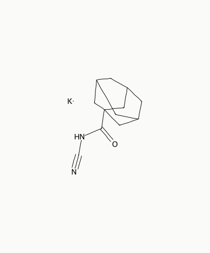 N#CNC(=O)C12CC3CC(CC(C3)C1)C2.[K]